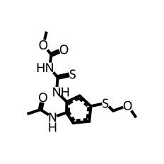 COCSc1ccc(NC(C)=O)c(NC(=S)NC(=O)OC)c1